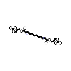 O=C(/C=C/CCCCCC/C=C/C(=O)OCC1COC(=O)O1)OCC1COC(=O)O1